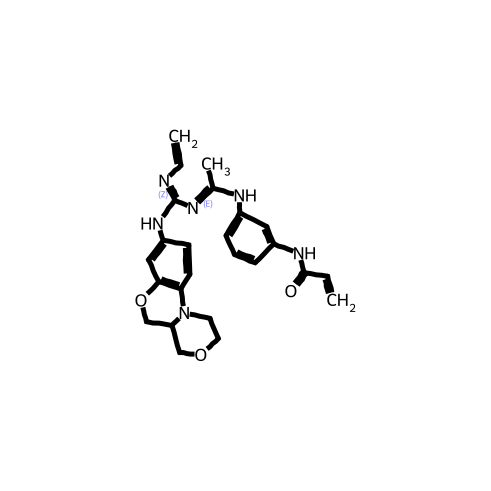 C=C/N=C(\N=C(/C)Nc1cccc(NC(=O)C=C)c1)Nc1ccc2c(c1)OCC1COCCN21